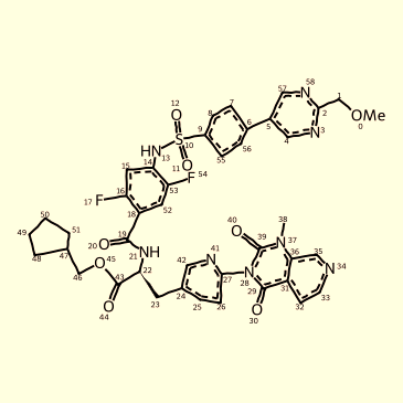 COCc1ncc(-c2ccc(S(=O)(=O)Nc3cc(F)c(C(=O)N[C@@H](Cc4ccc(-n5c(=O)c6ccncc6n(C)c5=O)nc4)C(=O)OCC4CCCC4)cc3F)cc2)cn1